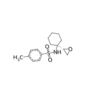 Cc1ccc(S(=O)(=O)NC2([C@H]3CO3)CCCCC2)cc1